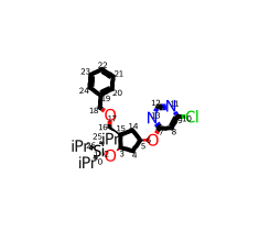 CC(C)[Si](O[C@H]1C[C@H](Oc2cc(Cl)ncn2)C[C@@H]1COCc1ccccc1)(C(C)C)C(C)C